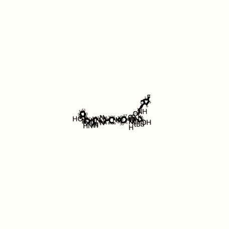 Cc1cc(F)ccc1C#CCNC(=O)[C@@H]1C[C@@H](O)CN1C(=O)[C@@H](NC(=O)[C@H]1CCC2(CC1)C[C@H](N1CCC(c3cnc(N4CCN5c6cc(-c7ccccc7O)nnc6NC[C@H]5C4)nc3)CC1)C2)C(C)(C)C